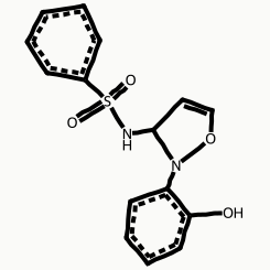 O=S(=O)(NC1C=CON1c1ccccc1O)c1ccccc1